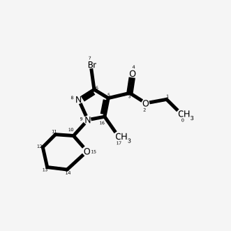 CCOC(=O)c1c(Br)nn(C2CCCCO2)c1C